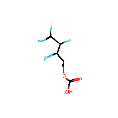 O=C(O)OCC(F)C(F)C(F)F